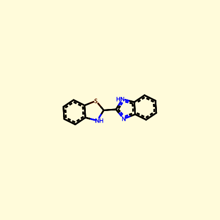 c1ccc2c(c1)NC(c1nc3ccccc3[nH]1)S2